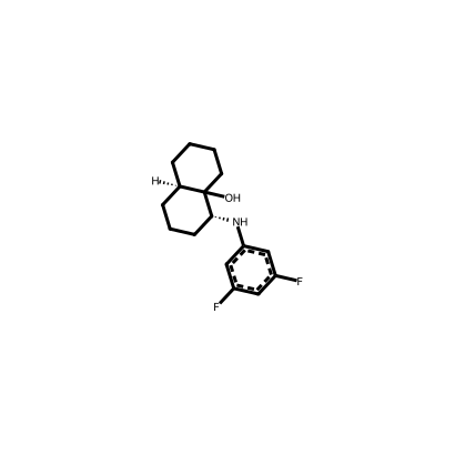 OC12CCCC[C@@H]1CCC[C@H]2Nc1cc(F)cc(F)c1